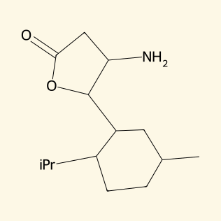 CC1CCC(C(C)C)C(C2OC(=O)CC2N)C1